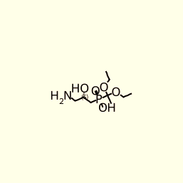 CCOC(C)(OCC)P(=O)(O)C[C@@H](O)CN